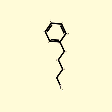 F[CH]CCCc1ccccc1